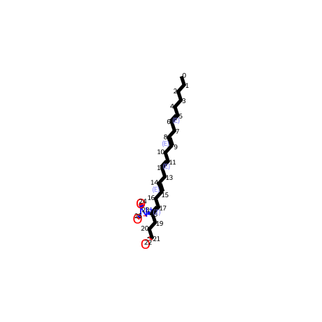 CCCCC/C=C/C/C=C/C/C=C/C/C=C/C/C=C(/CC[C]=O)[N+](=O)[O-]